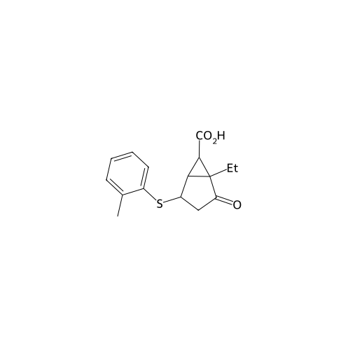 CCC12C(=O)CC(Sc3ccccc3C)C1C2C(=O)O